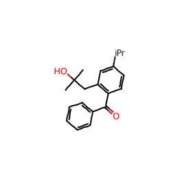 CC(C)c1ccc(C(=O)c2ccccc2)c(CC(C)(C)O)c1